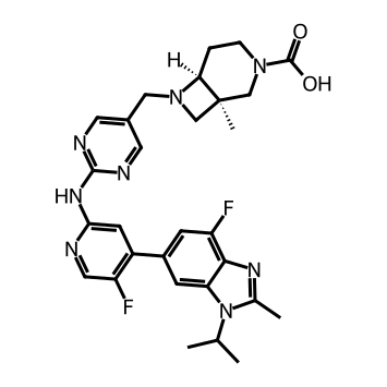 Cc1nc2c(F)cc(-c3cc(Nc4ncc(CN5C[C@]6(C)CN(C(=O)O)CC[C@H]56)cn4)ncc3F)cc2n1C(C)C